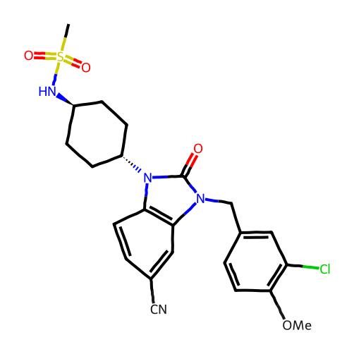 COc1ccc(Cn2c(=O)n([C@H]3CC[C@H](NS(C)(=O)=O)CC3)c3ccc(C#N)cc32)cc1Cl